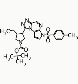 CCC1CN(C(=O)OC(C)(C)C)CC1c1nnc2cnc3c(ccn3S(=O)(=O)c3ccc(C)cc3)n12